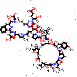 CC[C@@H](C)[C@@H]1NC(=O)[C@H](NC(=O)[C@H](CC(C)C)N(C)C(=O)C2CCCN2C(=O)[C@@H](C)OC(=O)OCCSSC[C@H](NC(=O)[C@H](Cc2ccccc2)NC(=O)[C@H](CC(=O)O)NC(=O)CC[C@@H](C)NC(=O)CC[C@H](NC(=S)N[C@@H](CCC(=O)O)C(=O)O)C(=O)O)C(=O)O)[C@H](C)OC(=O)[C@@H](Cc2ccc(OC)cc2)N(C)C(=O)[C@H]2CCCN2C(=O)C(CC(C)C)NC(=O)[C@H](C)C(=O)[C@@H](C(C)C)OC(=O)C[C@H]1O